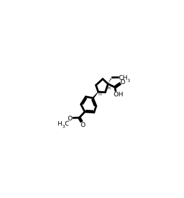 CC[C@@]1(C(=O)O)CC[C@H](c2ccc(C(=O)OC)cc2)C1